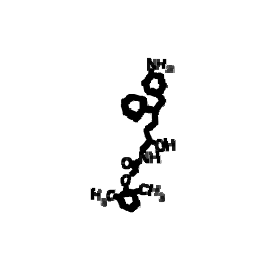 Cc1cccc(C)c1OCC(=O)NC[C@H](O)CCC(Cc1ccc(N)cc1)c1ccccc1